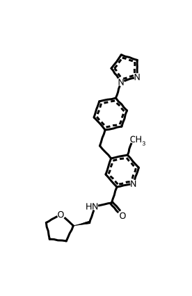 Cc1cnc(C(=O)NC[C@H]2CCCO2)cc1Cc1ccc(-n2cccn2)cc1